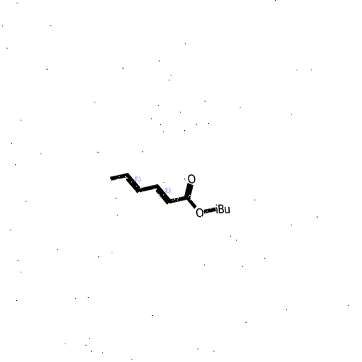 C/C=C/C=C/C(=O)OC(C)CC